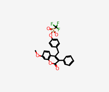 COc1ccc2c(Cc3ccc(OS(=O)(=O)C(F)(F)F)cc3)c(-c3ccccc3)c(=O)oc2c1